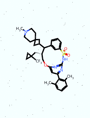 Cc1cccc(C)c1-c1cc2nc(n1)NS(=O)(=O)c1cccc(c1)C(C1CC3(CCN(C)CC3)C1)[C@@H](CC1(C(F)(F)F)CC1)CO2